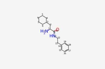 N[C@@H](CC1CCCCC1)C(=O)NCCc1ccccc1